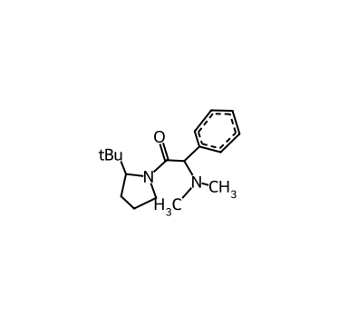 CN(C)C(C(=O)N1CCCC1C(C)(C)C)c1ccccc1